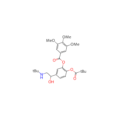 COc1cc(C(=O)Oc2cc(C(O)CNC(C)(C)C)ccc2OC(=O)C(C)(C)C)cc(OC)c1OC